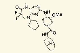 COc1cc(C(=O)NC2CC3CCC(C2)N3C)ccc1Nc1ncc2c(n1)N(C1CCCCC1)CC(F)(F)C(=O)N2C